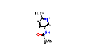 CNC(=O)Nc1ccc(C)nc1